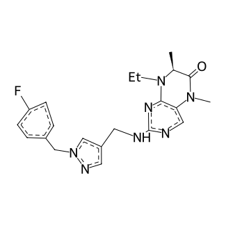 CCN1c2nc(NCc3cnn(Cc4ccc(F)cc4)c3)ncc2N(C)C(=O)[C@@H]1C